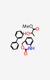 COC(=O)C(C)O.O=C1Nc2cccc(c2)CO1.c1ccc(-c2ccccc2)cc1